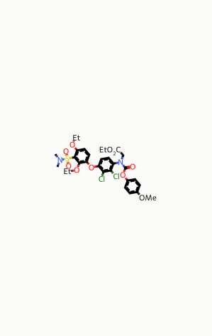 CCOC(=O)CN(C(=O)Oc1ccc(OC)cc1)c1ccc(Oc2ccc(OCC)c(S(=O)(=O)N(C)C)c2OCC)c(Cl)c1Cl